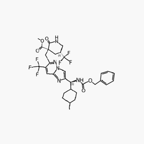 COC(=O)C1(Cc2nn3cc([C@@H](NC(=O)OCc4ccccc4)C4CCC(C)CC4)nc3cc2C(F)(F)F)C[C@@H](C(F)(F)F)CNC1=O